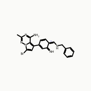 Cc1nc(N)c2c(C3=CC(=N)/C(=C\NCc4ccccc4)C=C3)cc(Br)n2n1